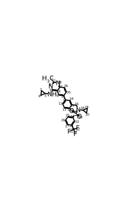 Cc1nc(NC2CC2)c2cc(-c3cccc(CN(C4CC4)S(=O)(=O)c4cccc(C(F)(F)F)c4)c3)ccc2n1